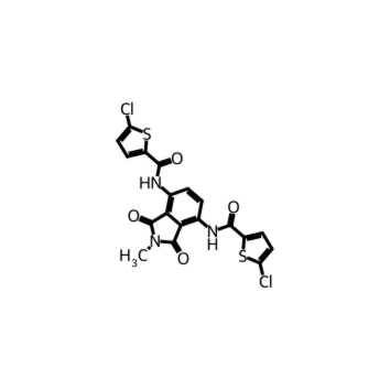 CN1C(=O)c2c(NC(=O)c3ccc(Cl)s3)ccc(NC(=O)c3ccc(Cl)s3)c2C1=O